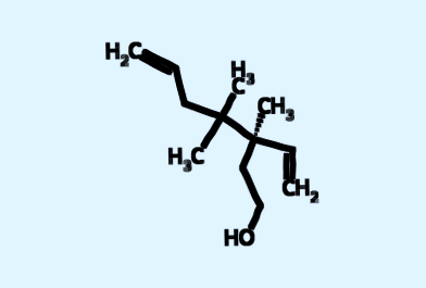 C=CCC(C)(C)[C@@](C)(C=C)CCO